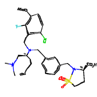 COc1ccc(Cl)c(CN(Cc2cccc(CN3[C@@H](C(=O)O)CCS3(=O)=O)c2)[C@H](CN(C)C)CC(C)(C)C)c1F